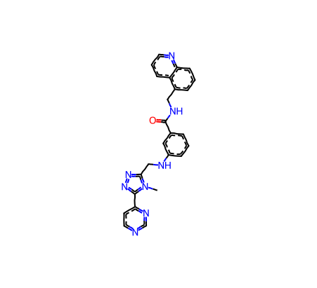 Cn1c(CNc2cccc(C(=O)NCc3cccc4ncccc34)c2)nnc1-c1ccncn1